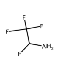 F[CH]([AlH2])C(F)(F)F